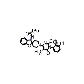 Cc1c(N2CCC3(CC2)Oc2ccccc2/C3=N\[S+]([O-])C(C)(C)C)nc(C)n(-c2cccc(Cl)c2Cl)c1=O